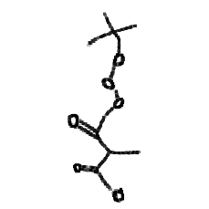 CC(C(=O)Cl)C(=O)OOOC(C)(C)C